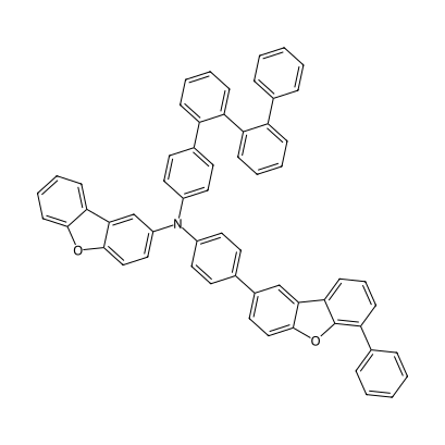 c1ccc(-c2ccccc2-c2ccccc2-c2ccc(N(c3ccc(-c4ccc5oc6c(-c7ccccc7)cccc6c5c4)cc3)c3ccc4oc5ccccc5c4c3)cc2)cc1